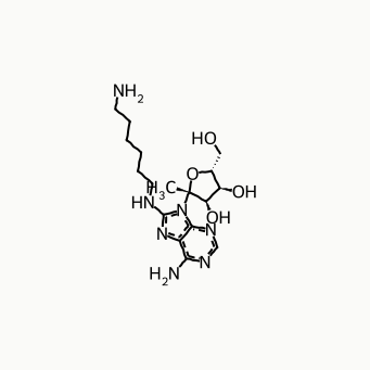 C[C@@]1(n2c(NCCCCCCN)nc3c(N)ncnc32)O[C@H](CO)[C@@H](O)[C@H]1O